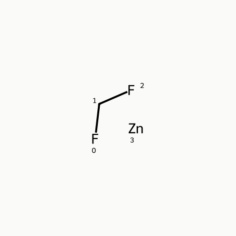 FCF.[Zn]